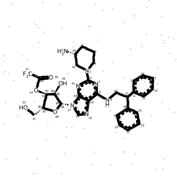 N[C@@H]1CCCN(c2nc(NCC(c3ccccc3)c3ccccc3)c3ncn([C@@H]4O[C@H](CO)[C@@H](OC(=O)C(F)(F)F)[C@H]4O)c3n2)C1